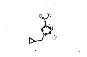 O=S([O-])c1cn(CC2CC2)cn1.[Li+]